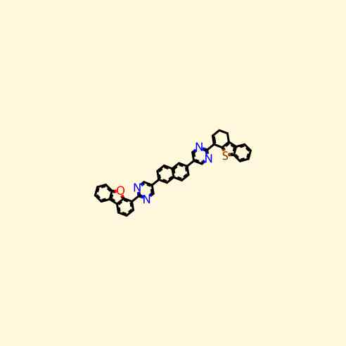 C1=C(c2ncc(-c3ccc4cc(-c5cnc(-c6cccc7c6oc6ccccc67)nc5)ccc4c3)cn2)c2sc3ccccc3c2CC1